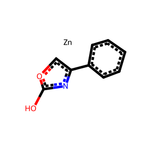 Oc1nc(-c2ccccc2)co1.[Zn]